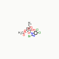 CC(=O)OC[C@@]1(C(C)=O)O[C@@H](n2c(Br)nc3cc(Cl)c(Cl)cc32)[C@H](O)[C@@H]1OC(C)=O